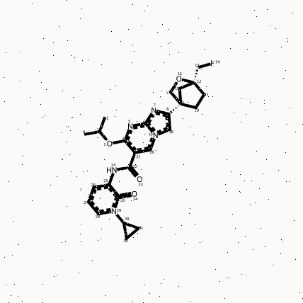 CC(C)Oc1nc2nc([C@@]34CC[C@@](CF)(C3)OC4)cn2cc1C(=O)Nc1cccn(C2CC2)c1=O